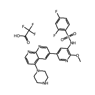 COc1ncc(-c2cnc3nccc(N4CCNCC4)c3c2)cc1NS(=O)(=O)c1ccc(F)cc1F.O=C(O)C(F)(F)F